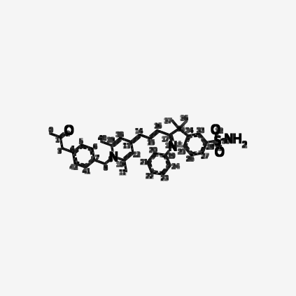 CC(=O)Cc1ccc(CN2C(C)=CC(=C/C=C/C3=[N+](c4ccccc4)c4ccc(S(N)(=O)=O)cc4C3(C)C)C=C2C)cc1